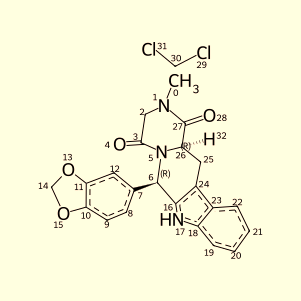 CN1CC(=O)N2[C@H](c3ccc4c(c3)OCO4)c3[nH]c4ccccc4c3C[C@@H]2C1=O.ClCCl